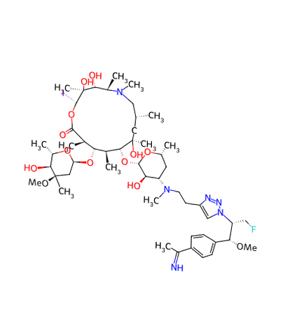 CO[C@H](c1ccc(C(C)=N)cc1)[C@@H](CF)n1cc(CCN(C)[C@H]2C[C@@H](C)O[C@@H](O[C@@H]3[C@@H](C)[C@H](O[C@H]4C[C@@](C)(OC)[C@@H](O)[C@H](C)O4)[C@@H](C)C(=O)O[C@H](I)[C@@](C)(O)[C@H](O)[C@@H](C)N(C)C[C@H](C)C[C@@]3(C)O)[C@@H]2O)nn1